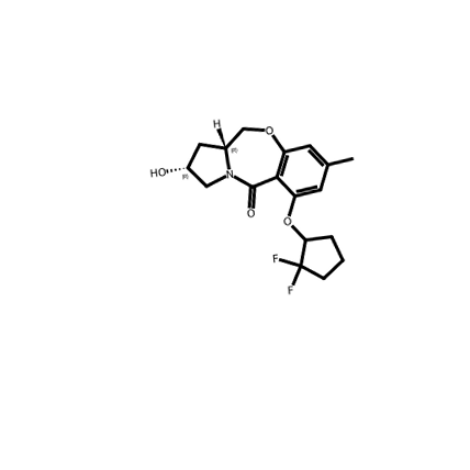 Cc1cc2c(c(OC3CCCC3(F)F)c1)C(=O)N1C[C@H](O)C[C@@H]1CO2